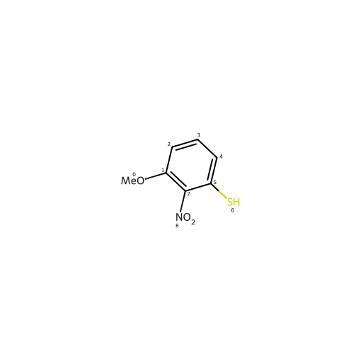 COc1cccc(S)c1[N+](=O)[O-]